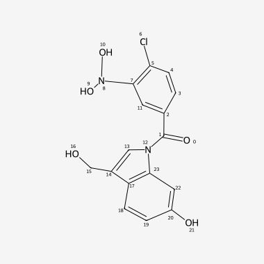 O=C(c1ccc(Cl)c(N(O)O)c1)n1cc(CO)c2ccc(O)cc21